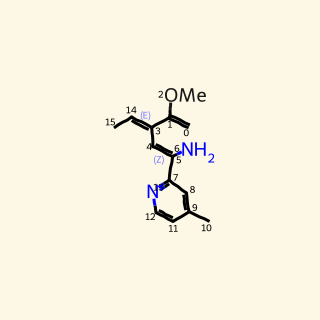 C=C(OC)C(/C=C(\N)c1cc(C)ccn1)=C/C